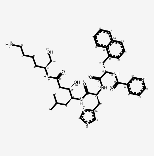 CC(C)C[C@H](NC(=O)[C@H](Cc1cscn1)NC(=O)[C@H](Cc1cccc2ccccc12)NC(=O)c1cccnc1)[C@@H](O)CC(=O)N[C@H](CO)CCCCN